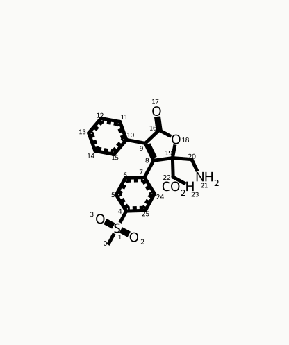 CS(=O)(=O)c1ccc(C2=C(c3ccccc3)C(=O)OC2(CN)CC(=O)O)cc1